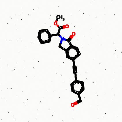 COC(=O)C(c1ccccc1)N1Cc2cc(C#Cc3ccc(C=O)cc3)ccc2C1=O